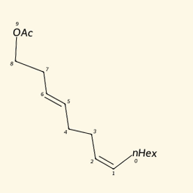 CCCCCC/C=C\CC/C=C/CCOC(C)=O